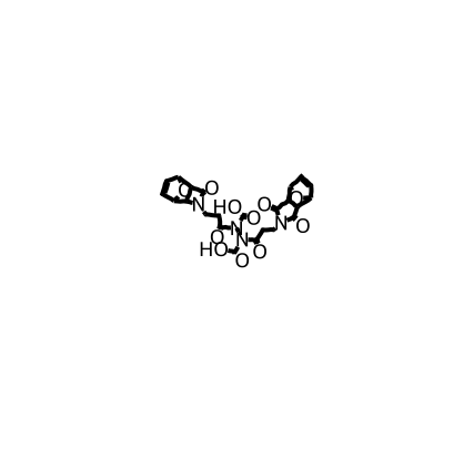 O=C1C2C3C=CC(O3)C2C(=O)N1CCC(=O)N(C(=O)O)N(C(=O)O)C(=O)CCN1C(=O)C2C3C=CC(O3)C21